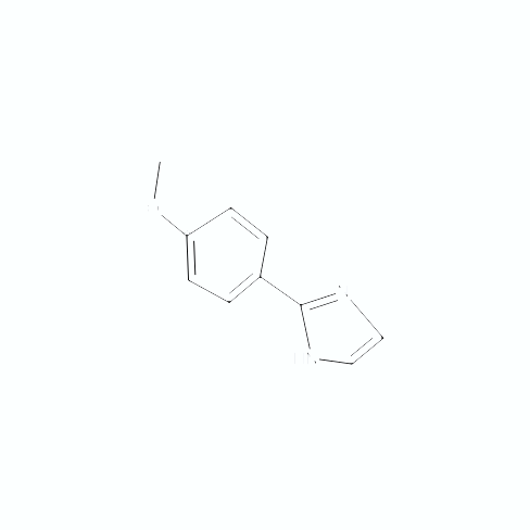 [CH2]Oc1ccc(-c2ncc[nH]2)cc1